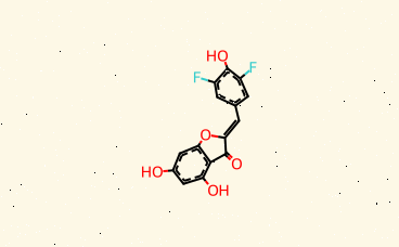 O=C1/C(=C/c2cc(F)c(O)c(F)c2)Oc2cc(O)cc(O)c21